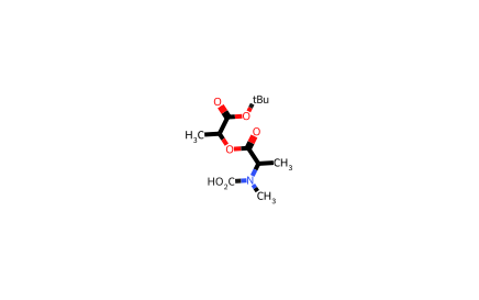 CC(OC(=O)C(C)N(C)C(=O)O)C(=O)OC(C)(C)C